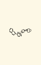 c1ccc2cc(-c3ccnc(N4CC[C@@H](N5CCOCC5)C4)n3)ccc2c1